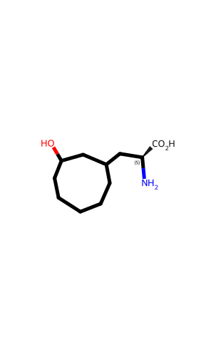 N[C@@H](CC1CCCCCC(O)C1)C(=O)O